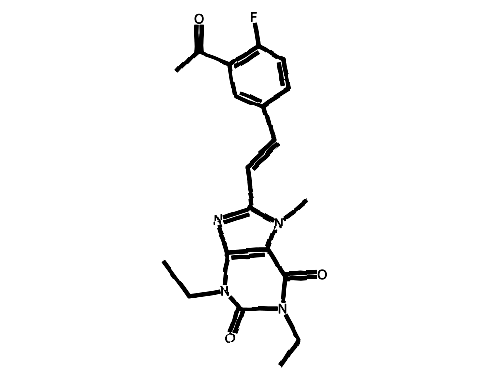 CCn1c(=O)c2c(nc(C=Cc3ccc(F)c(C(C)=O)c3)n2C)n(CC)c1=O